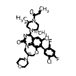 C=CC(=O)N1C[C@H](C)N(c2nc(=O)n3c4c(c(-c5cc(Cl)c(F)cc5F)c(Cl)cc24)OC[C@H](N2CCOCC2)C3)C[C@H]1C